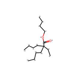 CCCCOC(=O)C(CC)(CCCC)CCCC